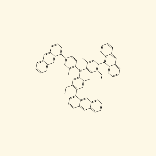 CCc1cc(N(c2ccc(-c3cccc4cc5ccccc5cc34)cc2C)c2cc(CC)c(-c3c4ccccc4cc4ccccc34)cc2C)c(C)cc1-c1cccc2cc3ccccc3cc12